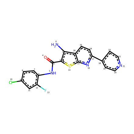 Nc1c(C(=O)Nc2ccc(Cl)cc2F)sc2nc(-c3ccncc3)ccc12